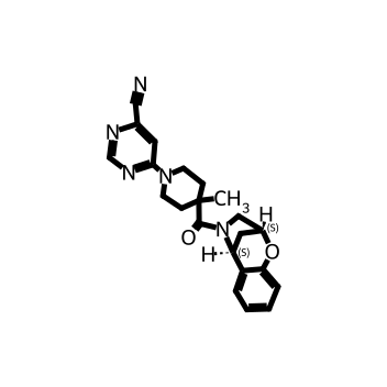 CC1(C(=O)N2C[C@@H]3C[C@H]2c2ccccc2O3)CCN(c2cc(C#N)ncn2)CC1